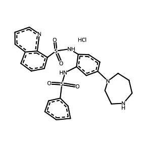 Cl.O=S(=O)(Nc1cc(N2CCCNCC2)ccc1NS(=O)(=O)c1cccc2cccnc12)c1ccccc1